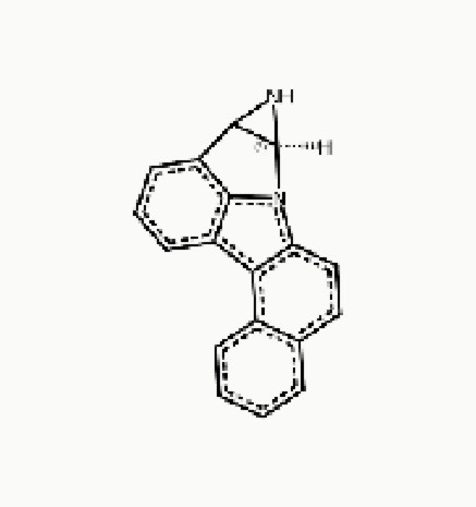 c1ccc2c(c1)ccc1c2c2cccc3c2n1[C@@H]1NC31